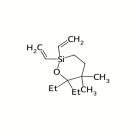 C=C[Si]1(C=C)CCC(C)(C)C(CC)(CC)O1